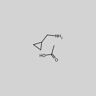 CC(=O)O.NCC1CC1